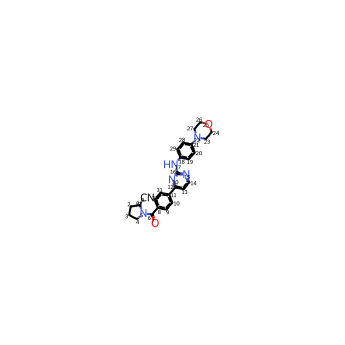 N#C[C@@H]1CCCN1C(=O)c1ccc(-c2ccnc(Nc3ccc(N4CCOCC4)cc3)n2)cc1